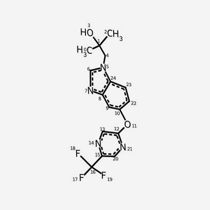 CC(C)(O)Cn1cnc2cc(Oc3cnc(C(F)(F)F)cn3)ccc21